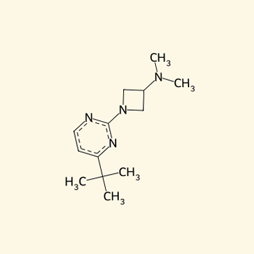 CN(C)C1CN(c2nccc(C(C)(C)C)n2)C1